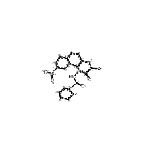 O=C(Nn1c(=O)c(=O)[nH]c2ccc3ccc([N+](=O)[O-])cc3c21)c1ccccc1